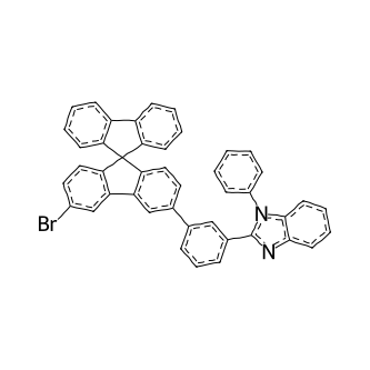 Brc1ccc2c(c1)-c1cc(-c3cccc(-c4nc5ccccc5n4-c4ccccc4)c3)ccc1C21c2ccccc2-c2ccccc21